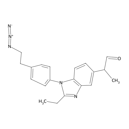 CCc1nc2cc(C(C)C=O)ccc2n1-c1ccc(CCN=[N+]=[N-])cc1